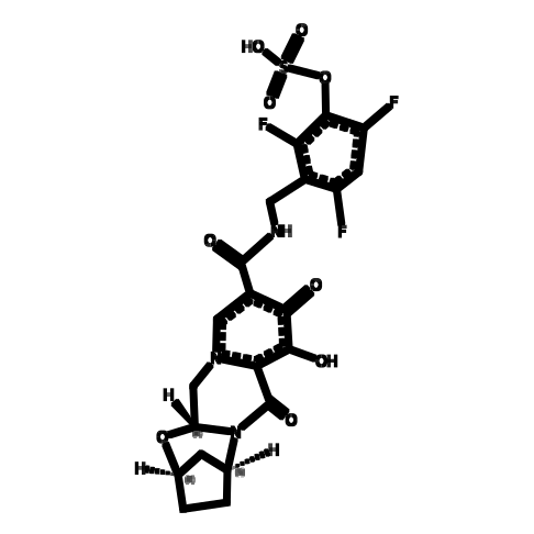 O=C(NCc1c(F)cc(F)c(OS(=O)(=O)O)c1F)c1cn2c(c(O)c1=O)C(=O)N1[C@H]3CC[C@H](C3)O[C@@H]1C2